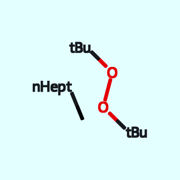 CC(C)(C)OOC(C)(C)C.CCCCCCCC